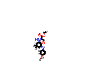 CCOC(=O)C1COC2=C(CC(C)(C)C/C2=N\c2ccc(OC)cc2)N1